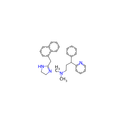 CN(C)CCC(c1ccccc1)c1ccccn1.c1ccc2c(CC3=NCCN3)cccc2c1